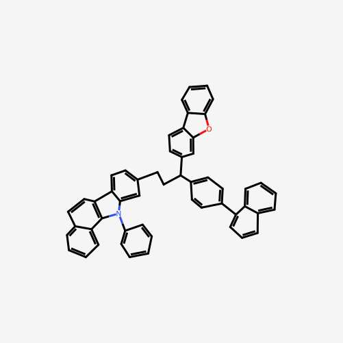 c1ccc(-n2c3cc(CCC(c4ccc(-c5cccc6ccccc56)cc4)c4ccc5c(c4)oc4ccccc45)ccc3c3ccc4ccccc4c32)cc1